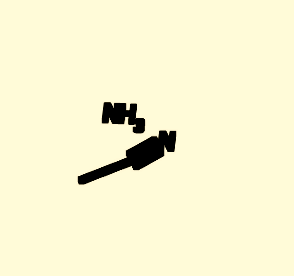 CC#N.N